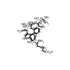 CC(C)C[C@H](N)C(=O)O.CC(C)C[C@H](N)C(=O)O.CC(C)[C@H](N)C(=O)O.NCC(=O)O.N[C@@H](Cc1c[nH]c2ccccc12)C(=O)O.N[C@@H](Cc1ccccc1)C(=O)O